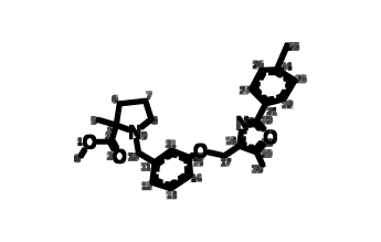 COC(=O)C1(C)CCCN1Cc1cccc(OCc2nc(-c3ccc(C)cc3)oc2C)c1